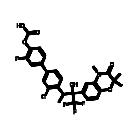 CC(c1ccc(-c2ccc(OC(=O)O)c(F)c2)cc1Cl)C(O)(c1ccc2c(c1)N(C)C(=O)C(C)(C)O2)C(F)(F)F